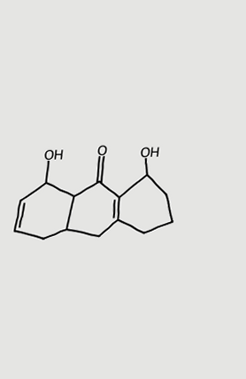 O=C1C2=C(CCCC2O)CC2CC=CC(O)C12